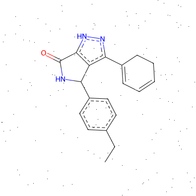 CCc1ccc(C2NC(=O)c3[nH]nc(C4=CC=CCC4)c32)cc1